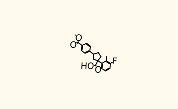 COC(=O)c1ccc(C2CCC(C(=O)O)(c3cccc(F)c3C)C2)cc1